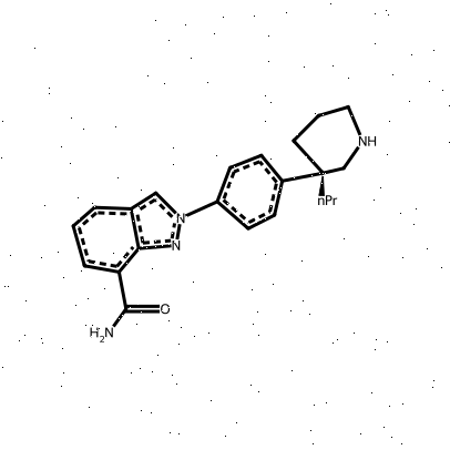 CCC[C@@]1(c2ccc(-n3cc4cccc(C(N)=O)c4n3)cc2)CCCNC1